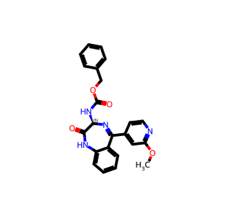 COc1cc(C2=N[C@H](NC(=O)OCc3ccccc3)C(=O)Nc3ccccc32)ccn1